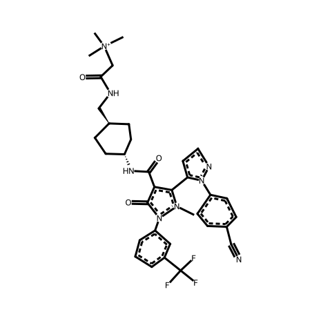 Cn1c(-c2ccnn2-c2ccc(C#N)cc2)c(C(=O)N[C@H]2CC[C@H](CNC(=O)C[N+](C)(C)C)CC2)c(=O)n1-c1cccc(C(F)(F)F)c1